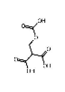 O=C(O)OCC(C(=O)O)C(=O)O